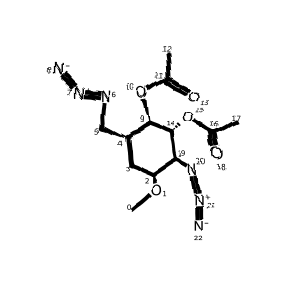 CO[C@H]1C[C@@H](CN=[N+]=[N-])[C@@H](OC(C)=O)[C@H](OC(C)=O)C1N=[N+]=[N-]